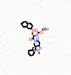 CN1N=C2CCN(C(=O)[C@@H](COc3ccc4ccccc4c3)NC(=O)OC(C)(C)C)C[C@@]2(Cc2ccccc2)C1=O